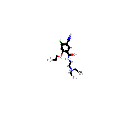 CCCOc1cc(Cl)c(C#N)cc1C(=O)NCCN(CC)CC